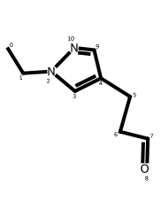 CCn1cc(CCC=O)cn1